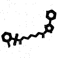 O=S(=O)(NCCCCCNc1nc(-c2cccnc2)cs1)c1ccccc1F